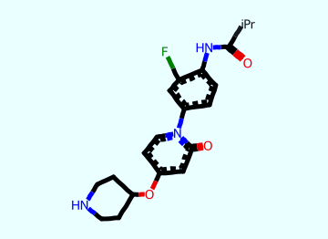 CC(C)C(=O)Nc1ccc(-n2ccc(OC3CCNCC3)cc2=O)cc1F